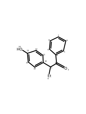 CCC(C(=O)c1ccccc1)c1ccc(O)cc1